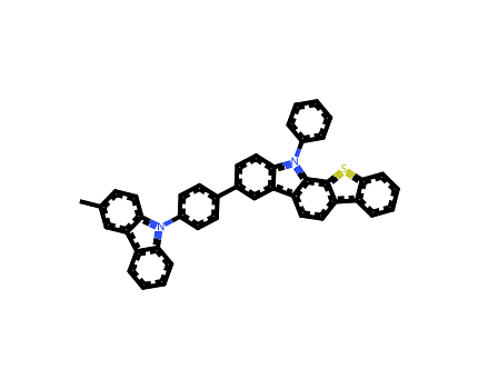 Cc1ccc2c(c1)c1ccccc1n2-c1ccc(-c2ccc3c(c2)c2ccc4c5ccccc5sc4c2n3-c2ccccc2)cc1